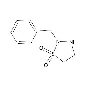 O=S1(=O)CCNN1Cc1ccccc1